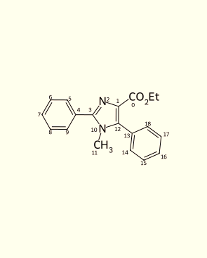 CCOC(=O)c1nc(-c2ccccc2)n(C)c1-c1ccccc1